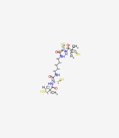 CC(C)(CS)C(=O)N[C@@H](CS)C(=O)NCCCCCNC(=O)[C@H](CS)NC(=O)C(C)(C)CS